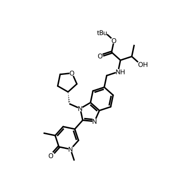 Cc1cc(-c2nc3ccc(CNC(C(=O)OC(C)(C)C)C(C)O)cc3n2C[C@@H]2CCOC2)cn(C)c1=O